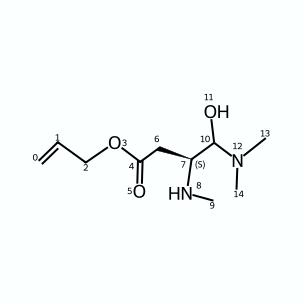 C=CCOC(=O)C[C@H](NC)C(O)N(C)C